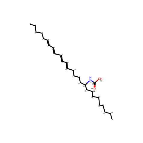 CCCCCC=CC=CC=CC=CCCCCC(CCCCCCCCC)NC(=O)O